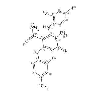 Cc1ccc(Oc2cc(=O)n(C)c(Nc3ccc(I)cc3F)c2C(N)=O)c(F)c1